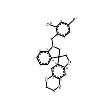 Fc1ccc(CN2CC3(COc4cc5c(cc43)OCCO5)c3ccccc32)c(Cl)c1